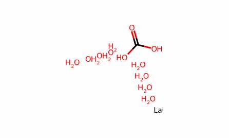 O.O.O.O.O.O.O.O.O=C(O)O.[La]